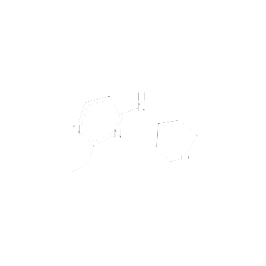 CSc1nccc(NC2CCOCC2)n1